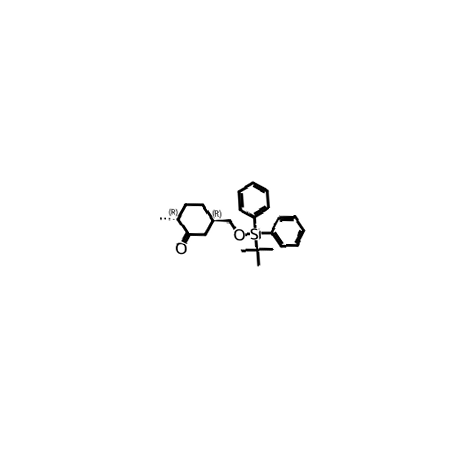 C[C@@H]1CC[C@@H](CO[Si](c2ccccc2)(c2ccccc2)C(C)(C)C)CC1=O